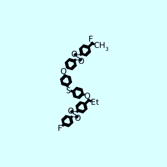 CCC(Oc1ccc(Sc2ccc(Oc3ccc(S(=O)(=O)c4ccc(C(C)F)cc4)cc3)cc2)cc1)c1ccc(S(=O)(=O)c2ccc(F)cc2)cc1